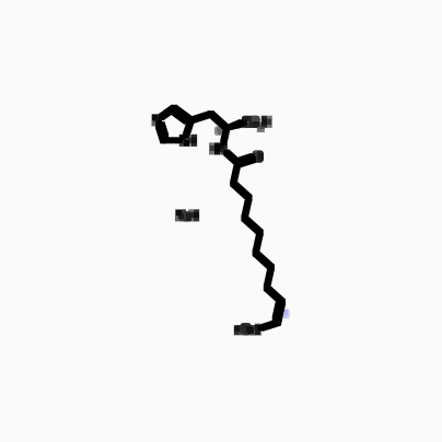 CCCCCCCC/C=C\CCCCCCCC(=O)N[C@@H](Cc1cnc[nH]1)C(=O)O.[NaH]